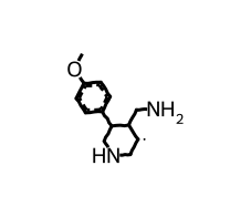 COc1ccc(C2CNC[CH]C2CN)cc1